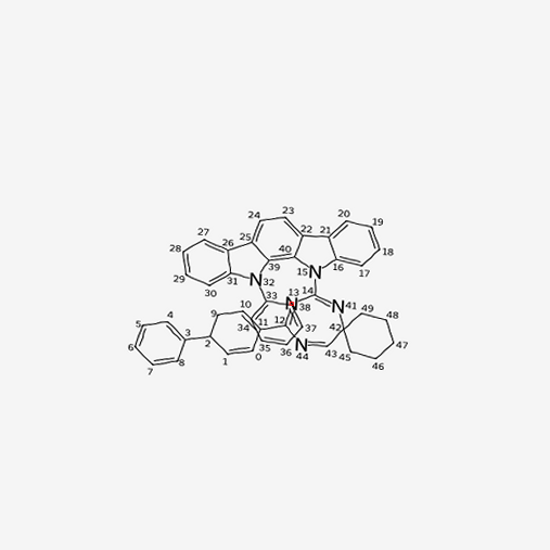 C1=CC(c2ccccc2)CC=C1C1=NC(n2c3ccccc3c3ccc4c5ccccc5n(-c5ccccc5)c4c32)=NC2(C=N1)CCCCC2